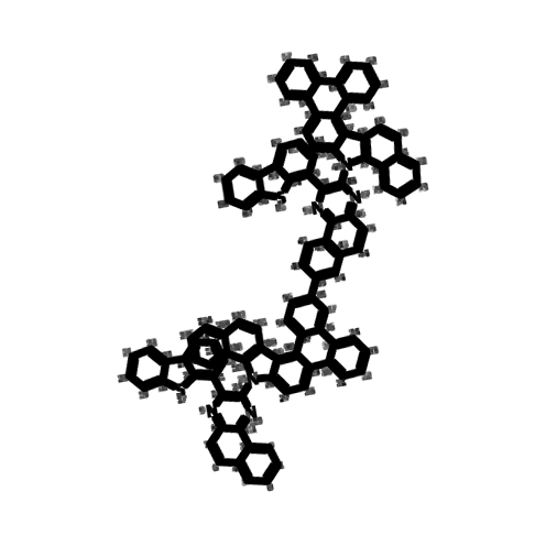 c1ccc2c(c1)ccc1nc(-c3cccc4c3sc3ccccc34)c(-n3c4ccc5c6ccccc6c6cc(-c7ccc8c(ccc9nc(-n%10c%11ccc%12c%13ccccc%13c%13ccccc%13c%12c%11c%11ccc%12ccccc%12c%11%10)c(-c%10cccc%11c%10sc%10ccccc%10%11)nc98)c7)ccc6c5c4c4ccc5ccccc5c43)nc12